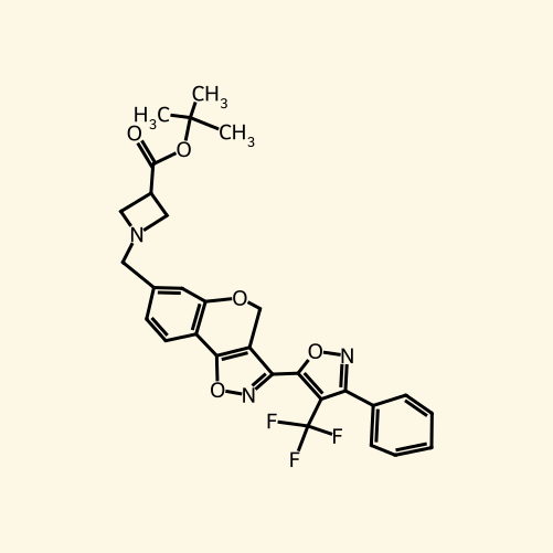 CC(C)(C)OC(=O)C1CN(Cc2ccc3c(c2)OCc2c(-c4onc(-c5ccccc5)c4C(F)(F)F)noc2-3)C1